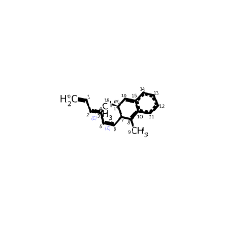 C=C/C=C(C)/C=C\C1C(C)=c2ccccc2=C[C@@H]1I